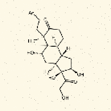 CC(=O)CC[C@@]1(C)C(=O)CC[C@H]2[C@@H]3C[C@@H](O)[C@](O)(C(=O)CO)[C@@]3(C)C[C@H](O)C21F